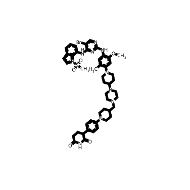 COc1cc(N2CCC(N3CCN(CC4CCN(c5ccc(C6CCC(=O)NC6=O)cc5)CC4)CC3)CC2)c(C)cc1Nc1ncc(Br)c(Nc2cccc3ccn(S(C)(=O)=O)c23)n1